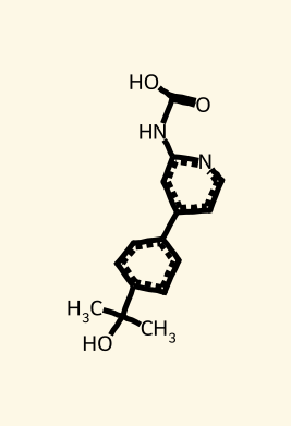 CC(C)(O)c1ccc(-c2ccnc(NC(=O)O)c2)cc1